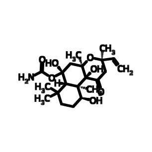 C=C[C@@]1(C)CC(=O)[C@]2(O)[C@@]3(C)[C@@H](O)CCC(C)(C)[C@@H]3[C@](O)(OC(N)=O)C[C@@]2(C)O1